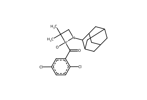 CC1(C)CN(C2C3CC4CC(C3)CC2C4)[N+]1([O-])C(=O)c1cc(Cl)ccc1Cl